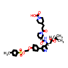 Cc1ccc(S(=O)(=O)OCCOc2ccc(-c3cncc([C@H](CC(=O)OC(C)(C)C)NC(=O)[C@@H]4CCCN(C(=O)CCC5CCN(C(=O)O)CC5)C4)c3)cc2)cc1